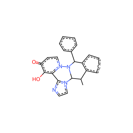 CC1c2ccccc2C(c2ccccc2)N2C1n1ccnc1-c1c(O)c(=O)ccn12